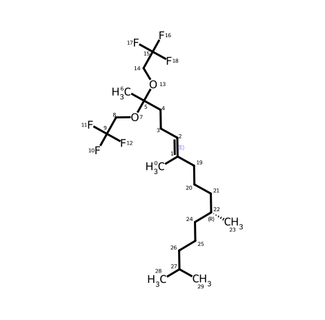 C/C(=C\CCC(C)(OCC(F)(F)F)OCC(F)(F)F)CCC[C@H](C)CCCC(C)C